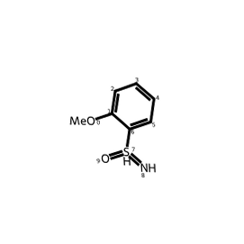 COc1ccccc1[SH](=N)=O